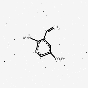 C=Cc1cc(C(=O)OCC)cnc1NC